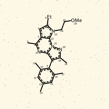 CCc1cc2c(C)nc3c(-c4c(C)cc(C)cc4C)c(C)nn3c2n1CCOC